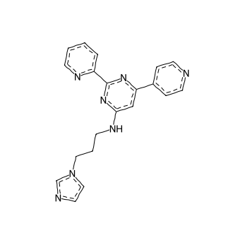 c1ccc(-c2nc(NCCCn3ccnc3)cc(-c3ccncc3)n2)nc1